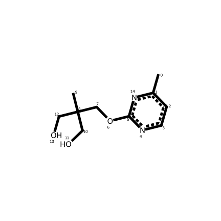 Cc1[c]cnc(OCC(C)(CO)CO)n1